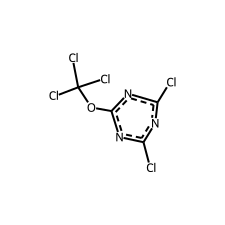 Clc1nc(Cl)nc(OC(Cl)(Cl)Cl)n1